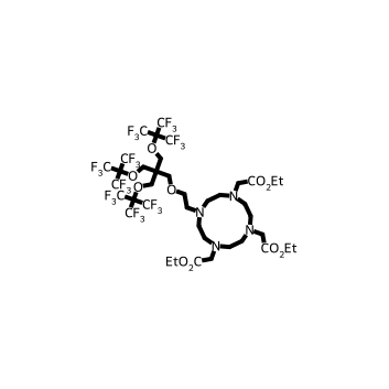 CCOC(=O)CN1CCN(CCOCC(COC(C(F)(F)F)(C(F)(F)F)C(F)(F)F)(COC(C(F)(F)F)(C(F)(F)F)C(F)(F)F)COC(C(F)(F)F)(C(F)(F)F)C(F)(F)F)CCN(CC(=O)OCC)CCN(CC(=O)OCC)CC1